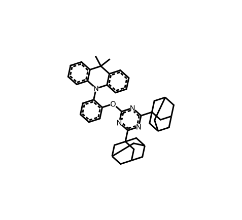 CC1(C)c2ccccc2N(c2ccccc2Oc2nc(C34CC5CC(CC(C5)C3)C4)nc(C34CC5CC(CC(C5)C3)C4)n2)c2ccccc21